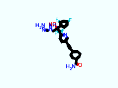 N/N=C\N(N)CC(O)(c1ccc(F)cc1F)C(F)(F)c1ccc(C#CC2=CCC=C(C(N)=O)C=C2)cn1